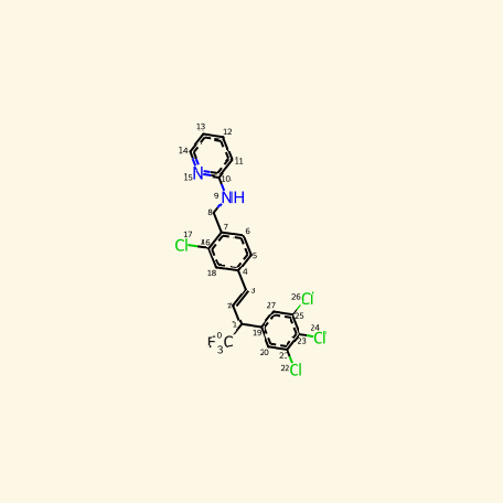 FC(F)(F)C(C=Cc1ccc(CNc2ccccn2)c(Cl)c1)c1cc(Cl)c(Cl)c(Cl)c1